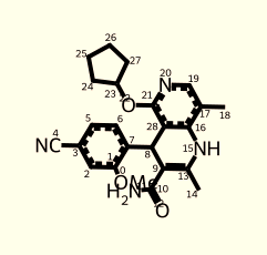 COc1cc(C#N)ccc1C1C(C(N)=O)=C(C)Nc2c(C)cnc(OC3CCCC3)c21